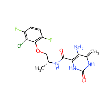 C=C1NC(=O)NC(C(=O)N[C@H](C)COc2c(F)ccc(F)c2Cl)=C1N